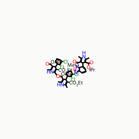 CCOC(=O)C1=C(C)NC(C)=C(C(=O)OC)C1c1cccc(Cl)c1Cl.CCOC(=O)C1=C(C)NC(C)=C(C(=O)OC)C1c1cccc(Cl)c1Cl.COC(=O)C1=C(C)NC(C)=C(C(=O)OC(C)C)C1c1cccc2nonc12